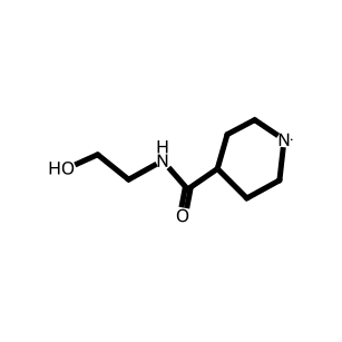 O=C(NCCO)C1CC[N]CC1